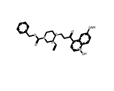 C=C[C@H]1CN(C(=O)OCc2ccccc2)CC[C@H]1CCC(=O)c1cc[n+](O)c2ccc(OC)cc12